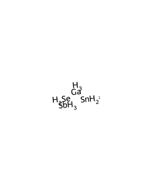 [GaH3].[SbH3].[SeH2].[SnH2]